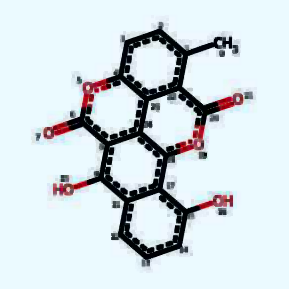 Cc1ccc2oc(=O)c3c(O)c4cccc(O)c4c4oc(=O)c1c2c34